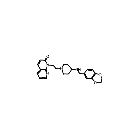 O=c1ccc2cccnc2n1CCN1CCC(NCc2ccc3c(c2)OCCO3)CC1